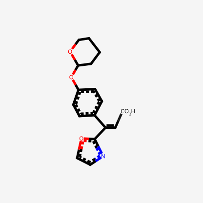 O=C(O)/C=C(\c1ccc(OC2CCCCO2)cc1)c1ncco1